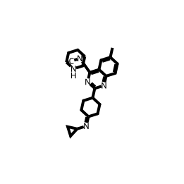 Cc1ccc2nc(C3CCC(=NC4CC4)CC3)nc(N3CC4CCC3CN4)c2c1